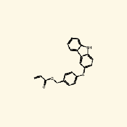 C=CC(=O)OCc1ccc(Sc2ccc3[nH]c4ccccc4c3c2)cc1